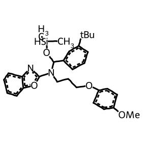 COc1ccc(OCCCN(c2nc3ccccc3o2)C(O[SiH](C)C)c2cccc(C(C)(C)C)c2)cc1